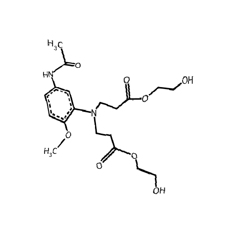 COc1ccc(NC(C)=O)cc1N(CCC(=O)OCCO)CCC(=O)OCCO